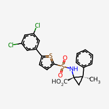 C[C@]1(c2ccccc2)C[C@@]1(NS(=O)(=O)c1ccc(-c2cc(Cl)cc(Cl)c2)s1)C(=O)O